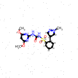 COc1cc(OC)nc(NC(=O)NS(=O)(=O)c2ccccc2-c2cnn(C)c2)n1